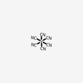 N#[C][V]([C]#N)([C]#N)([C]#N)([C]#N)[C]#N